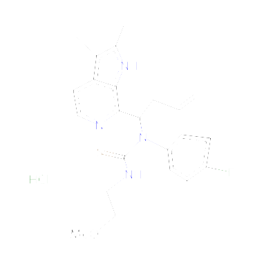 C=CCC(c1nccc2c(C)c(C)[nH]c12)N(C(=S)NCCOC)c1ccc(F)cc1.Cl